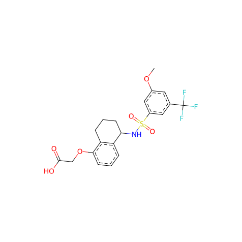 COc1cc(C(F)(F)F)cc(S(=O)(=O)NC2CCCc3c(OCC(=O)O)cccc32)c1